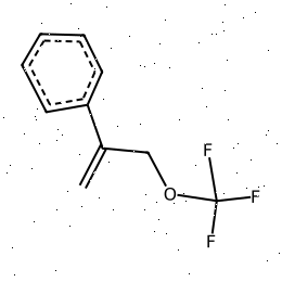 C=C(COC(F)(F)F)c1ccccc1